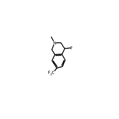 CN1Cc2cc(C(F)(F)F)ccc2C(F)C1